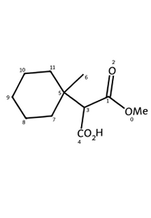 COC(=O)C(C(=O)O)C1(C)CCCCC1